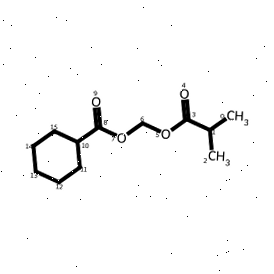 CC(C)C(=O)OCOC(=O)C1CCCCC1